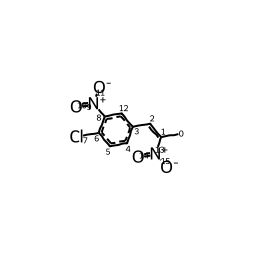 CC(=Cc1ccc(Cl)c([N+](=O)[O-])c1)[N+](=O)[O-]